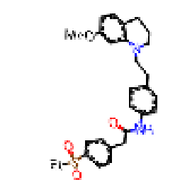 CCS(=O)(=O)c1ccc(CC(=O)Nc2ccc(CCN3CCCc4ccc(OC)cc43)cc2)cc1